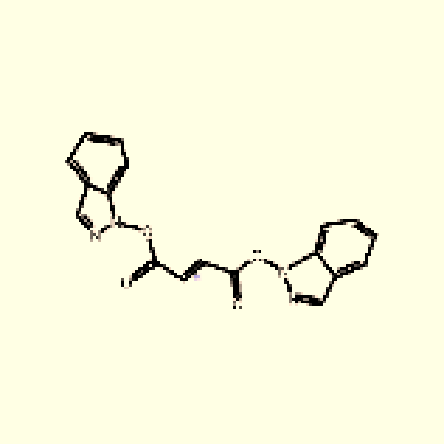 O=C(/C=C/C(=O)On1ncc2ccccc21)On1ncc2ccccc21